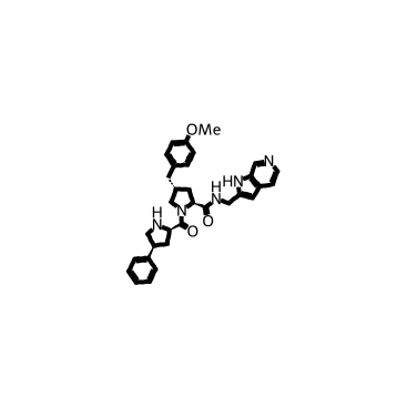 COc1ccc(C[C@@H]2C[C@@H](C(=O)NCc3cc4ccncc4[nH]3)N(C(=O)[C@H]3C[C@@H](c4ccccc4)CN3)C2)cc1